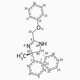 C[C@@]1(c2ccccc2)N=C(COc2ccccc2)N[C@@H]1c1ccccc1